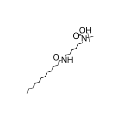 CCCCCCCCCCCC(=O)NCCCCCCN(C(=O)O)C(C)(C)C